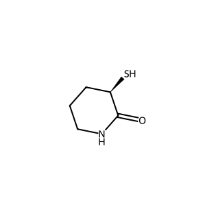 O=C1NCCC[C@H]1S